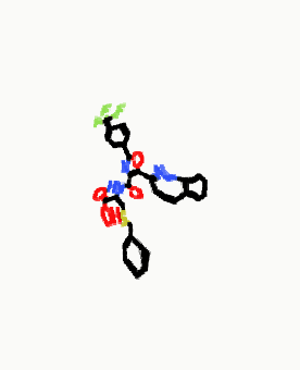 O=C(NC(CSCc1ccccc1)C(=O)O)c1nc(-c2ccc(C(F)(F)F)cc2)oc1-c1ccc2ccccc2n1